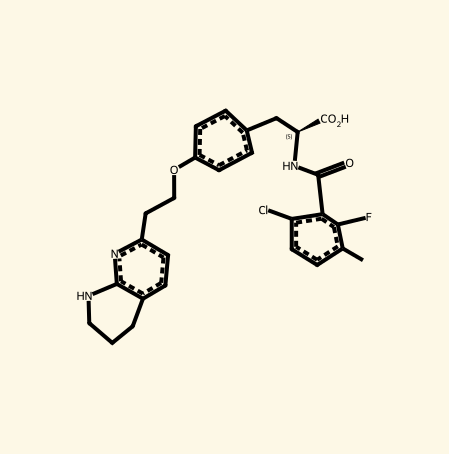 Cc1ccc(Cl)c(C(=O)N[C@@H](Cc2ccc(OCCc3ccc4c(n3)NCCC4)cc2)C(=O)O)c1F